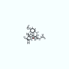 COc1ccc2c(c1)C13CCN(CC4CC4)C(C2)C12CCC1N[C@@H](C)[C@@H](C2)C13